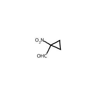 O=CC1([N+](=O)[O-])CC1